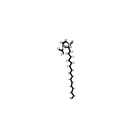 CCCCCCCCCCCCCCCCC1N(C)C=CN1C(C)C